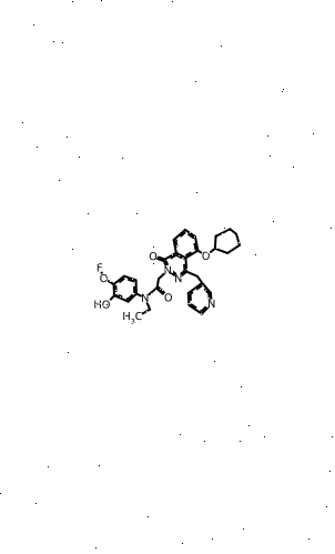 CCN(C(=O)Cn1nc(Cc2cccnc2)c2c(OC3CCCCC3)cccc2c1=O)c1ccc(OF)c(O)c1